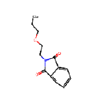 CC(C)(C)CCOCCN1C(=O)c2ccccc2C1=O